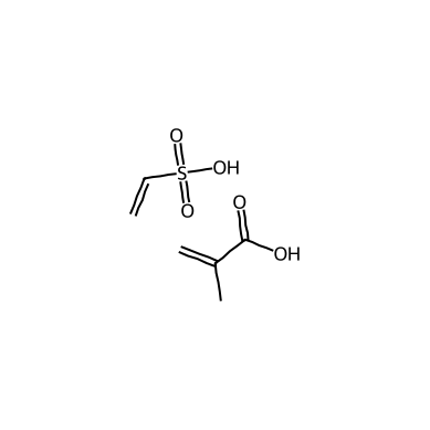 C=C(C)C(=O)O.C=CS(=O)(=O)O